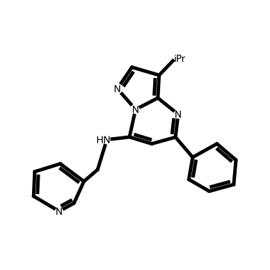 CC(C)c1cnn2c(NCc3cccnc3)cc(-c3ccccc3)nc12